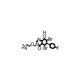 C[Si](C)(C)CCOCn1cnc2c(O)c(Br)c(-c3ccc(F)cc3)c(Br)c2c1=O